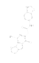 CC(C)c1nn(CC(=O)Nc2ccc3ncsc3c2)c(=O)c2cc3ccsc3n12